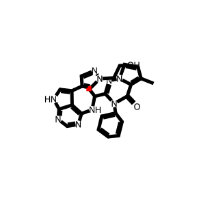 Cc1ccn2nc(C(C)Nc3ncnc4[nH]cc(-c5cnn(CCO)c5)c34)n(-c3ccccc3)c(=O)c12